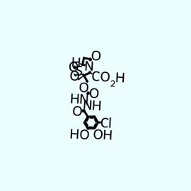 C[C@]1(COC(=O)NNC(=O)c2cc(O)c(O)c(Cl)c2)[C@H](C(=O)O)N2C(=O)C[C@H]2S1(=O)=O